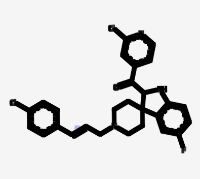 O=C(c1ccnc(Cl)c1)C1Nc2ccc(F)cc2C12CCN(C/C=C/c1ccc(Cl)cc1)CC2